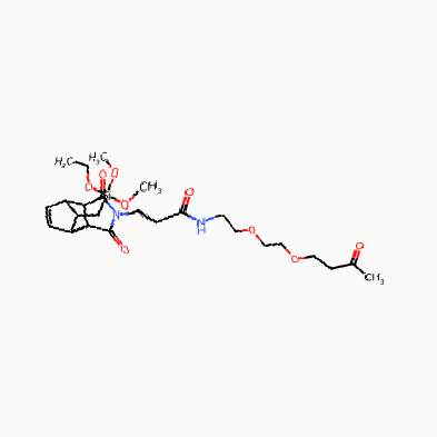 CCO[Si](CC1C2C=CC1C1C(=O)N(CCC(=O)NCCOCCOCCC(C)=O)C(=O)C21)(OC)OC